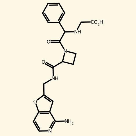 Nc1nccc2oc(CNC(=O)C3CCN3C(=O)C(NCC(=O)O)c3ccccc3)cc12